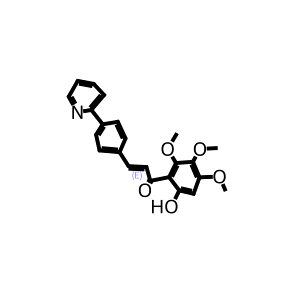 COc1cc(O)c(C(=O)/C=C/c2ccc(-c3ccccn3)cc2)c(OC)c1OC